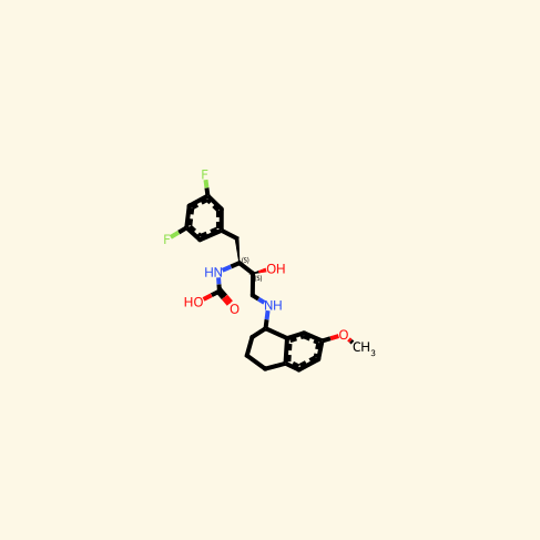 COc1ccc2c(c1)C(NC[C@H](O)[C@H](Cc1cc(F)cc(F)c1)NC(=O)O)CCC2